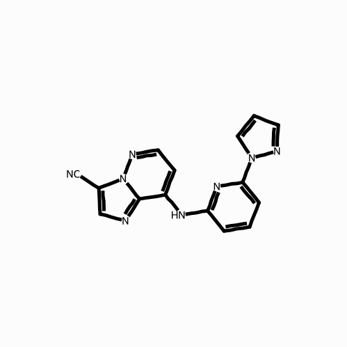 N#Cc1cnc2c(Nc3cccc(-n4cccn4)n3)ccnn12